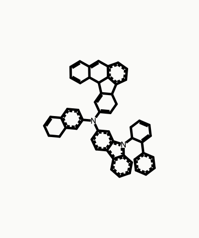 C1=CCC(n2c3ccccc3c3ccc(N(C4=CCC5C(=C4)C4c6c(cccc65)C=C5C=CC=CC54)c4ccc5c(c4)CCC=C5)cc32)C(c2ccccc2)=C1